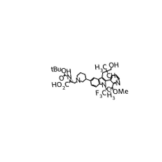 CO[C@@H](C)c1ncccc1-c1c(CC(C)(C)CO)c2cc(C3CCCN(C[C@H](NC(=O)OC(C)(C)C)C(=O)O)C3)ccc2n1CC(F)(F)F